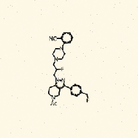 CC(=O)N1CCc2c(c(-c3ccc(CF)cc3)nn2CC(F)CN2CCN(c3ccccc3C#N)CC2)C1